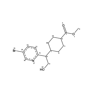 COC(=O)C1CCC(C(CO)c2ccc(Br)cn2)CC1